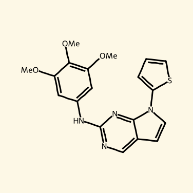 COc1cc(Nc2ncc3ccn(-c4cccs4)c3n2)cc(OC)c1OC